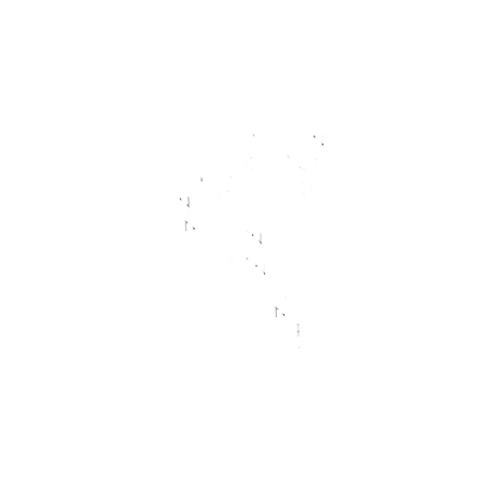 CC(Oc1ccc2[nH]nc(-c3ccc(N4CCC5(CCC(=O)N5C)CC4)nc3)c2c1)c1c(Cl)cncc1Cl